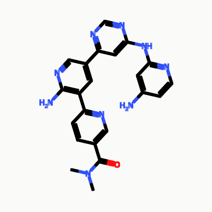 CN(C)C(=O)c1ccc(-c2cc(-c3cc(Nc4cc(N)ccn4)ncn3)cnc2N)nc1